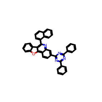 c1ccc(-c2nc(-c3ccccc3)nc(-c3ccc4c(c3)nc(-c3cccc5ccccc35)c3c5ccccc5oc43)n2)cc1